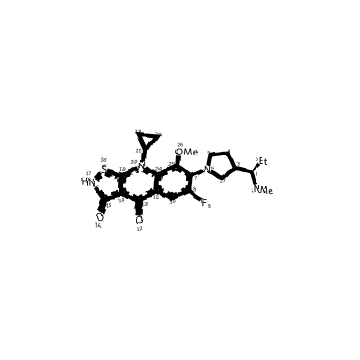 CC[C@@H](NC)C1CCN(c2c(F)cc3c(=O)c4c(=O)[nH]sc4n(C4CC4)c3c2OC)C1